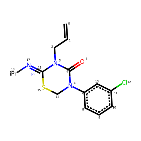 C=CCN1C(=O)N(c2cccc(Cl)c2)CS/C1=N\C(C)C